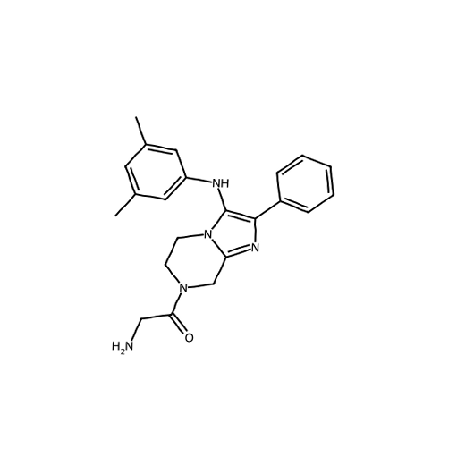 Cc1cc(C)cc(Nc2c(-c3ccccc3)nc3n2CCN(C(=O)CN)C3)c1